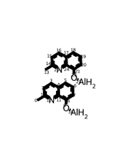 Cc1ccc2cccc([O][AlH2])c2n1.Cc1ccc2cccc([O][AlH2])c2n1